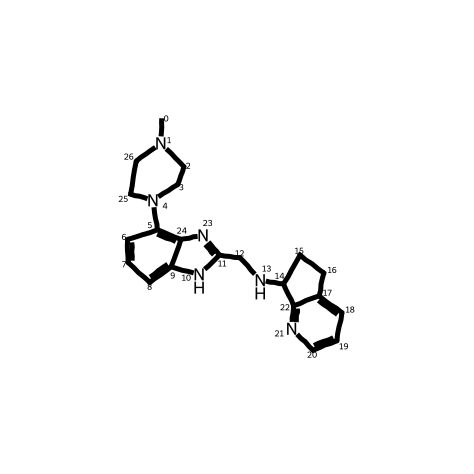 CN1CCN(c2cccc3[nH]c(CNC4CCc5cccnc54)nc23)CC1